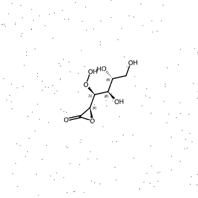 O=C1O[C@@H]1[C@@H](OO)[C@H](O)[C@H](O)CO